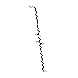 CCCCCCCCC=CCCCCCCCCCCCC(=O)NCCNC(=O)CCCCCCCCCCCC=CCCCCCCCC